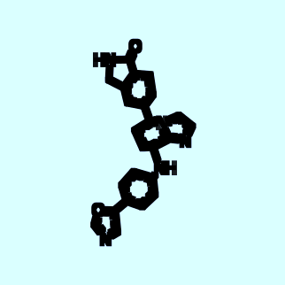 O=C1NCc2cc(-c3ccc(Nc4ccc(-c5cnco5)cc4)c4nccn34)ccc21